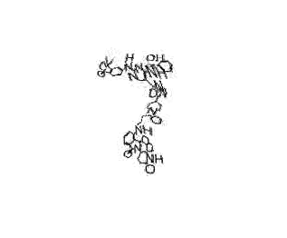 CC1(C)OC(=O)c2ccc(Nc3ncc(-c4nnc(C5CCN(C(=O)CCCNc6cccc7c6C(=O)N(C6CCC(=O)NC6=O)C7=O)CC5)o4)c(N[C@H](CO)c4ccccc4)n3)cc21